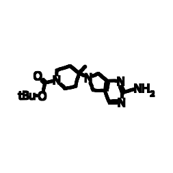 CC(C)(C)OC(=O)N1CCC(C)(N2Cc3cnc(N)nc3C2)CC1